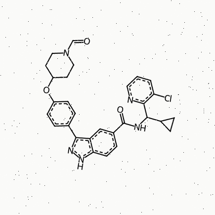 O=CN1CCC(Oc2ccc(-c3n[nH]c4ccc(C(=O)NC(c5ncccc5Cl)C5CC5)cc34)cc2)CC1